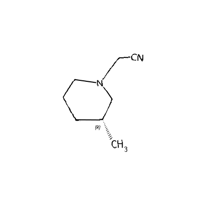 C[C@@H]1CCCN(CC#N)C1